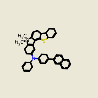 C[Si]1(C)C2=CCC3C(=C2C2=C1CCC(N(C1=CC=C(c4ccc5ccccc5c4)CC1)C1C=CC=CC1)=C2)SC1C=CCCC13